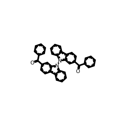 O=C(c1ccccc1)c1ccc2c3ccccc3n(-n3c4ccccc4c4ccc(C(=O)c5ccccc5)cc43)c2c1